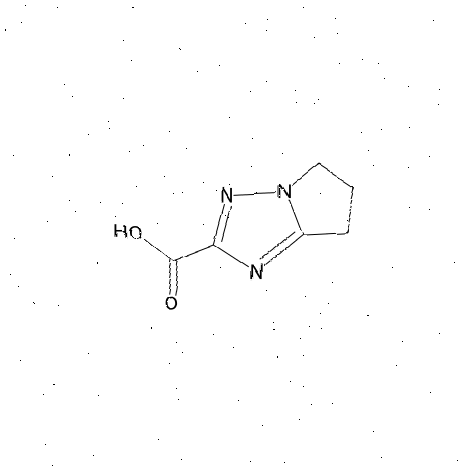 O=C(O)c1nc2n(n1)CCC2